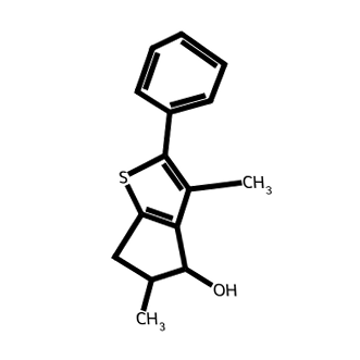 Cc1c(-c2ccccc2)sc2c1C(O)C(C)C2